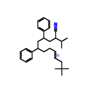 CC(C)C(C#N)CC(CC(CC/C=C/CC(C)(C)C)c1ccccc1)c1ccccc1